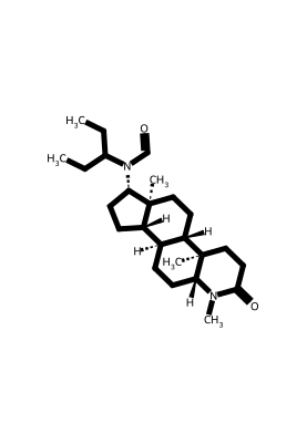 CCC(CC)N(C=O)[C@H]1CC[C@H]2[C@@H]3CC[C@H]4N(C)C(=O)CC[C@]4(C)[C@H]3CC[C@]12C